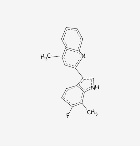 Cc1cc(-c2c[nH]c3c(C)c(F)ccc23)nc2ccccc12